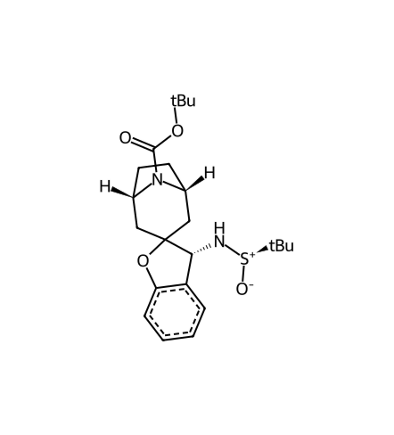 CC(C)(C)OC(=O)N1[C@@H]2CC[C@H]1CC1(C2)Oc2ccccc2[C@H]1N[S@+]([O-])C(C)(C)C